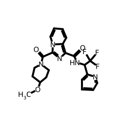 COC1CCN(C(=O)c2nc(C(=O)NC(c3ccccn3)C(F)(F)F)c3ccccn23)CC1